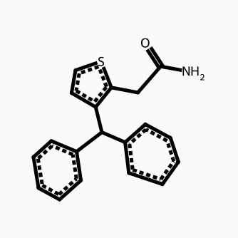 NC(=O)Cc1sccc1C(c1ccccc1)c1ccccc1